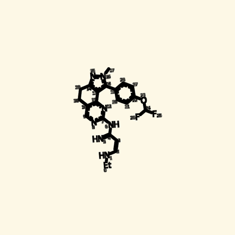 CCN/C=C\C(=N)Nc1ncc2c(n1)-c1c(nn(C)c1-c1ccc(OC(F)F)cc1)CC2